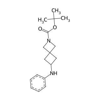 CC(C)(C)OC(=O)N1CC2(CC(Nc3ccccc3)C2)C1